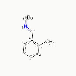 Cc1ccccc1C=NC(C)(C)C